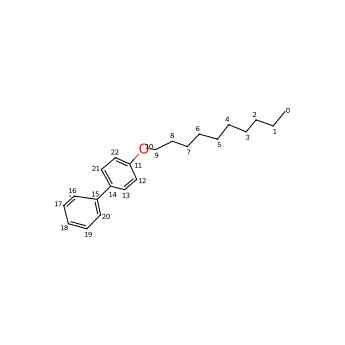 CCCCCCCCCCOc1ccc(-c2[c]cccc2)cc1